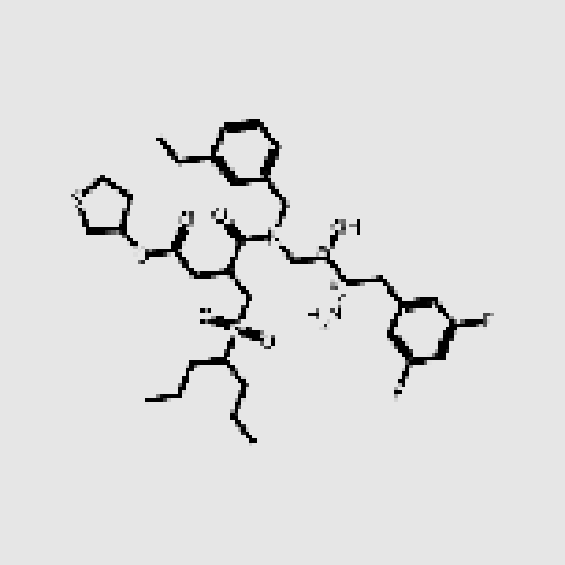 CCCC(CCC)S(=O)(=O)CC(CC(=O)OC1CCSC1)C(=O)N(Cc1cccc(CC)c1)C[C@@H](O)[C@@H](N)Cc1cc(F)cc(F)c1